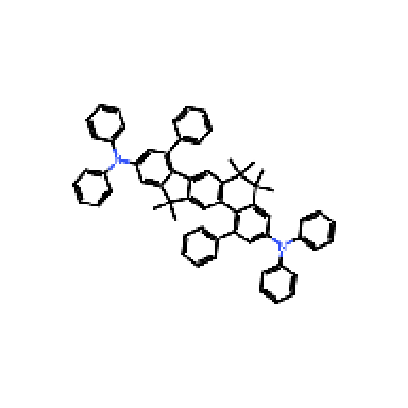 CC1(C)c2cc3c(cc2-c2c(-c4ccccc4)cc(N(c4ccccc4)c4ccccc4)cc21)C(C)(C)C(C)(C)c1cc(N(c2ccccc2)c2ccccc2)cc(-c2ccccc2)c1-3